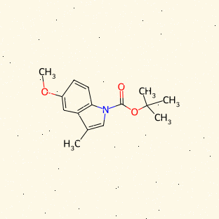 COc1ccc2c(c1)c(C)cn2C(=O)OC(C)(C)C